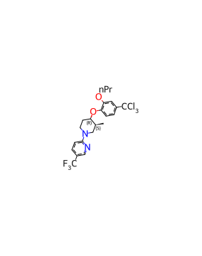 CCCOc1cc(C(Cl)(Cl)Cl)ccc1O[C@@H]1CCN(c2ccc(C(F)(F)F)cn2)C[C@@H]1C